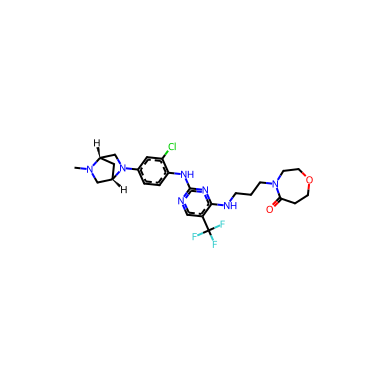 CN1C[C@@H]2C[C@H]1CN2c1ccc(Nc2ncc(C(F)(F)F)c(NCCCN3CCOCCC3=O)n2)c(Cl)c1